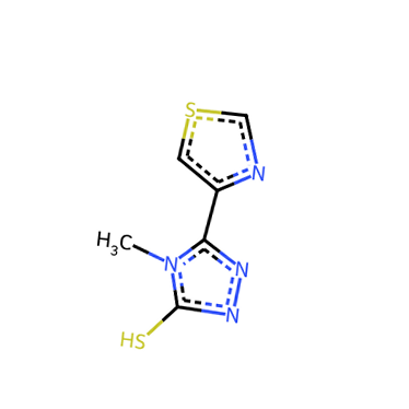 Cn1c(S)nnc1-c1cscn1